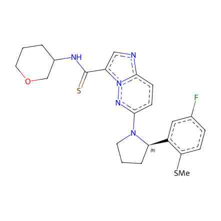 CSc1ccc(F)cc1[C@H]1CCCN1c1ccc2ncc(C(=S)NC3CCCOC3)n2n1